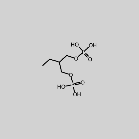 CCC(COP(=O)(O)O)COP(=O)(O)O